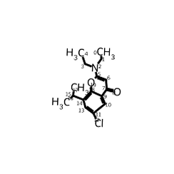 CCN(CC)c1cc(=O)c2cc(Cl)cc(C(C)C)c2o1